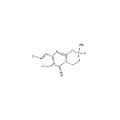 CC1(C)CCn2c(nc3cc(Cl)ccc3c2=O)C1